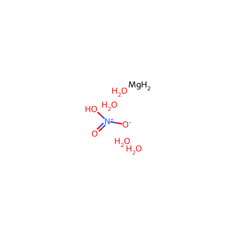 O.O.O.O.O=[N+]([O-])O.[MgH2]